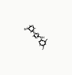 Cc1cc(F)ccc1Nc1ncn(-c2cncc(Br)c2)n1